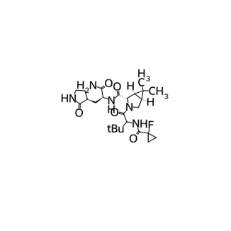 CC(C)(C)C(NC(=O)C1(F)CC1)C(=O)N1C[C@H]2[C@@H]([C@H]1C(=O)N[C@@H](C[C@@H]1CCNC1=O)C(N)=O)C2(C)C